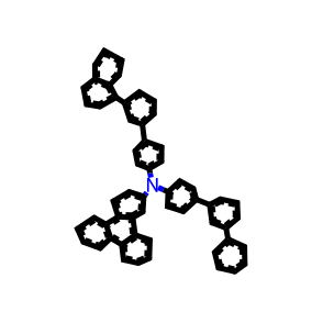 c1ccc(-c2cccc(-c3ccc(N(c4ccc(-c5cccc(-c6cccc7ccccc67)c5)cc4)c4ccc5c6ccccc6c6ccccc6c5c4)cc3)c2)cc1